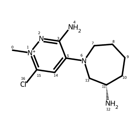 C[n+]1nc(N)c(N2CCCC[C@H](N)C2)cc1Cl